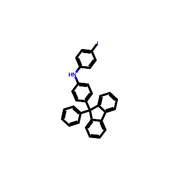 Ic1ccc(Nc2ccc(C3(c4ccccc4)c4ccccc4-c4ccccc43)cc2)cc1